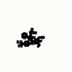 CC(=O)O.COc1cc([C@H](Nc2ccc(C(=N)N)cc2)c2nn(-c3ncccn3)c(=O)[nH]2)cc(CC#N)c1F